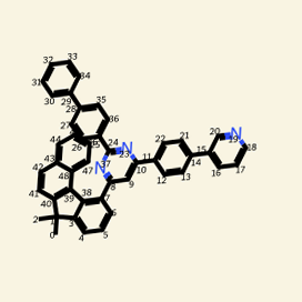 CC1(C)c2cccc(-c3cc(-c4ccc(-c5cccnc5)cc4)nc(-c4ccc(-c5ccccc5)cc4)n3)c2-c2c1ccc1ccccc21